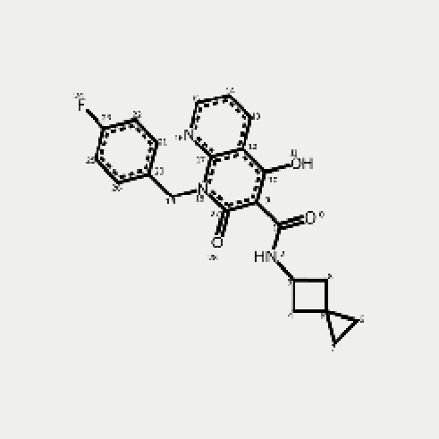 O=C(NC1CC2(CC2)C1)c1c(O)c2cccnc2n(Cc2ccc(F)cc2)c1=O